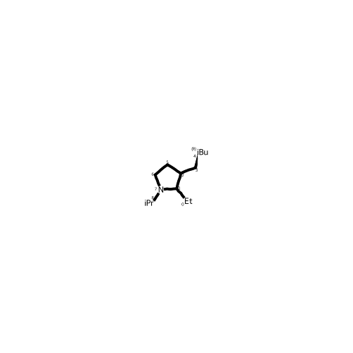 CCC1C(C[C@H](C)CC)CCN1C(C)C